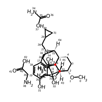 CO[C@@]12CC[C@@]3(C[C@@H]1[C@](C)(O)C(C)(C)C)[C@H]1Cc4ccc(O)c5c4[C@@]3(CCN1CC1CC1)[C@H]2O5.NC(=O)O.NCC(=O)O